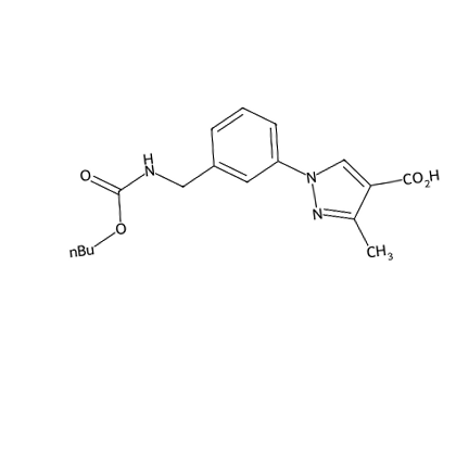 CCCCOC(=O)NCc1cccc(-n2cc(C(=O)O)c(C)n2)c1